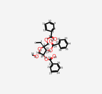 CC[C@]1(COC(=O)c2ccccc2)O[C@@H](OC)[C@H](OC(=O)c2ccccc2)[C@@H]1OC(=O)c1ccccc1